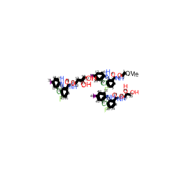 COCCONC(=O)c1ccc(F)cc1Nc1ccc(I)cc1Cl.O=C(NOCC(O)CO)c1ccc(F)cc1Nc1ccc(I)cc1Cl.O=C(NOCCC(O)CO)c1ccc(F)cc1Nc1ccc(I)cc1Cl